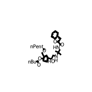 CCCCCOCc1cc(C(O)CNC(C)(C)CNC(=O)c2cc3ccccc3o2)ccc1OC(=O)CCCC